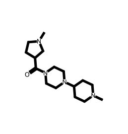 CN1CCC(N2CCN(C(=O)C3CCN(C)C3)CC2)CC1